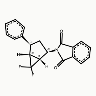 O=C1c2ccccc2C(=O)N1[C@@H]1C[C@H](c2ccccc2)[C@@H]2[C@H]1C2(F)F